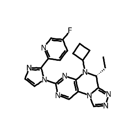 CC[C@@H]1c2nncn2-c2cnc(-n3ccnc3-c3ccc(F)cn3)nc2N1C1CCC1